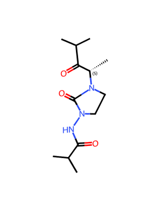 CC(C)C(=O)NN1CCN([C@@H](C)C(=O)C(C)C)C1=O